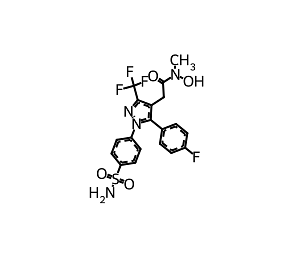 CN(O)C(=O)Cc1c(C(F)(F)F)nn(-c2ccc(S(N)(=O)=O)cc2)c1-c1ccc(F)cc1